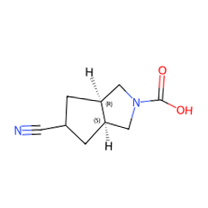 N#CC1C[C@@H]2CN(C(=O)O)C[C@@H]2C1